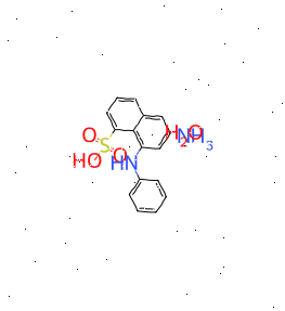 N.O.O=S(=O)(O)c1cccc2cccc(Nc3ccccc3)c12